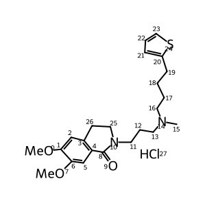 COc1cc2c(cc1OC)C(=O)N(CCCN(C)CCCCc1cccs1)CC2.Cl